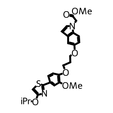 COC(=O)Cn1ccc2cc(OCCCOc3ccc(-c4nc(OC(C)C)cs4)cc3OC)ccc21